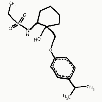 CCS(=O)(=O)NC1CCCCC1(O)COc1ccc(C(C)C)cc1